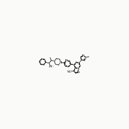 CC(C(O)c1ccccc1)N1CCN(c2ccc(-c3cc(-c4cnn(C)c4)cn4ncc(C#N)c34)cn2)CC1